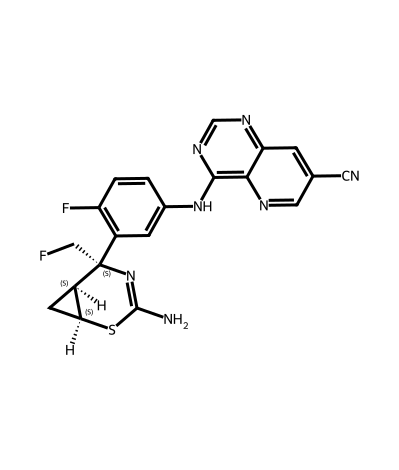 N#Cc1cnc2c(Nc3ccc(F)c([C@@]4(CF)N=C(N)S[C@H]5C[C@H]54)c3)ncnc2c1